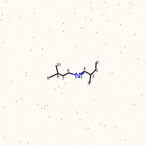 CCC(C)C=NCCC(C)C